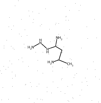 CC(N)CC(N)NNN